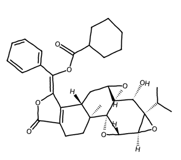 CC(C)[C@]12O[C@H]1[C@@H]1O[C@]13[C@]1(O[C@H]1C[C@H]1C4=C(CC[C@@]13C)C(=O)O/C4=C(/OC(=O)C1CCCCC1)c1ccccc1)[C@@H]2O